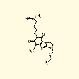 CCOCN1CCn2c1nc1c2c(=O)n(CCCC[C@@H](C)C#N)c(=O)n1C